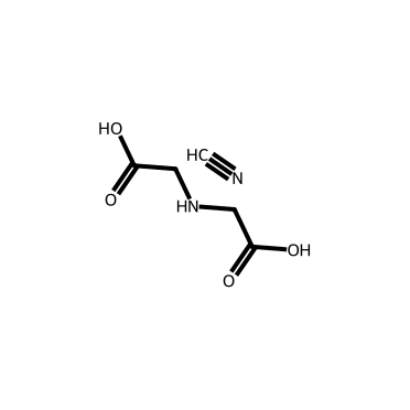 C#N.O=C(O)CNCC(=O)O